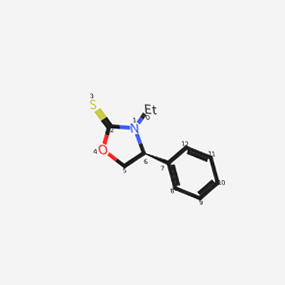 CCN1C(=S)OC[C@@H]1c1ccccc1